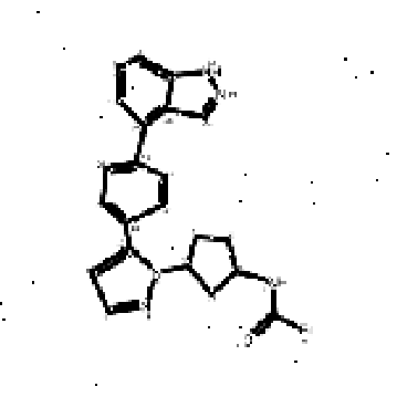 CCC(=O)NC1CCC(n2nccc2-c2ccc(-c3cccc4[nH]ncc34)cc2)C1